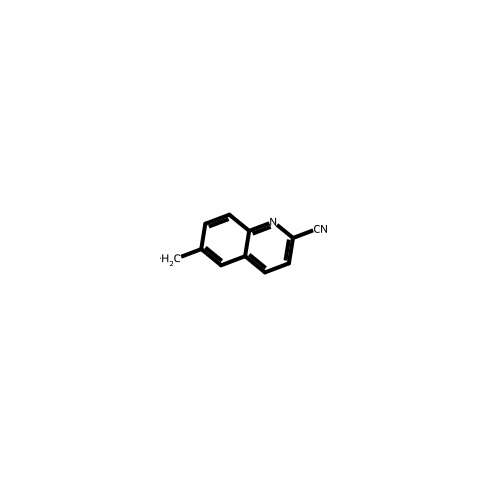 [CH2]c1ccc2nc(C#N)ccc2c1